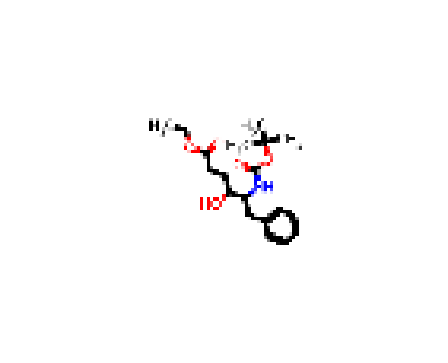 CCOC(=O)CCC(O)C(Cc1ccccc1)NC(=O)OC(C)(C)C